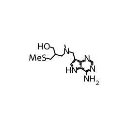 CSCC(CO)CN(C)Cc1c[nH]c2c(N)ncnc12